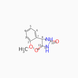 COc1ccccc1C1NC(=O)NC1=O